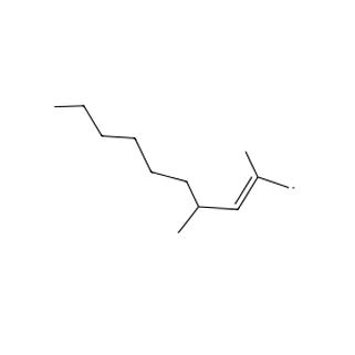 [CH2]/C(C)=C/C(C)CCCCCC